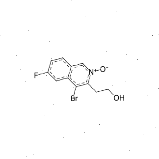 [O-][n+]1cc2ccc(F)cc2c(Br)c1CCO